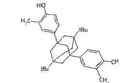 Cc1cc(C23CC4(c5ccc(O)c(C)c5)CC(C(C)(C)C)(C2)CC(C(C)(C)C)(C3)C4)ccc1O